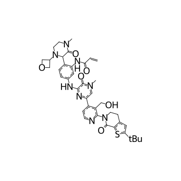 C=CC(=O)Nc1cc(Nc2nc(-c3ccnc(N4CCc5cc(C(C)(C)C)sc5C4=O)c3CO)cn(C)c2=O)ccc1C1C(=O)N(C)CCN1C1COC1